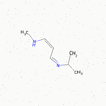 CN/C=C\C=N/C(C)C